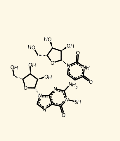 Nc1nc2c(ncn2[C@@H]2O[C@H](CO)[C@@H](O)[C@H]2O)c(=O)n1S.O=c1ccn([C@@H]2O[C@H](CO)[C@@H](O)[C@H]2O)c(=O)[nH]1